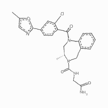 Cc1cnc(-c2ccc(C(=O)N3C[C@@H](C)N(C(=O)NCC(N)=O)Cc4ccccc43)c(Cl)c2)o1